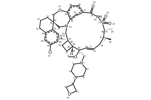 CO[C@]1(CN2CCN(C3COC3)CC2)/C=C/C[C@H](C)[C@@H](C)S(=O)(=O)NC(=O)c2ccc3c(c2)N(C[C@@H]2CC[C@H]21)C[C@@]1(CCCc2cc(Cl)ccc21)CO3